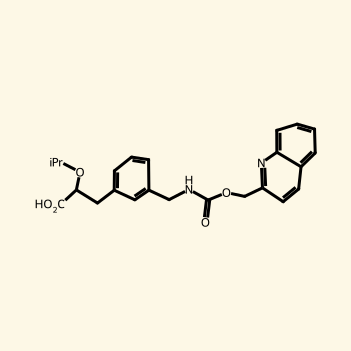 CC(C)OC(Cc1cccc(CNC(=O)OCc2ccc3ccccc3n2)c1)C(=O)O